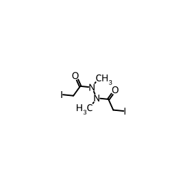 CN(C(=O)CI)N(C)C(=O)CI